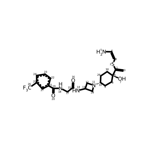 C=C(S/C=C\N)[C@]1(O)CC[C@H](N2CC(NC(=O)CNC(=O)c3cccc(C(F)(F)F)c3)C2)CC1